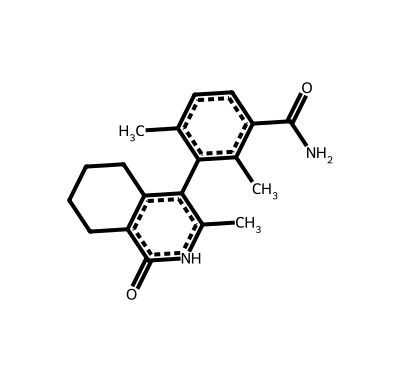 Cc1ccc(C(N)=O)c(C)c1-c1c(C)[nH]c(=O)c2c1CCCC2